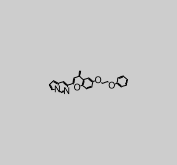 C=C1C=C(c2cc3cccn3cn2)Oc2ccc(OCCOc3ccccc3)cc21